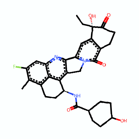 CC[C@@]1(O)C(=O)CCc2c1cc1n(c2=O)Cc2c-1nc1cc(F)c(C)c3c1c2[C@@H](NC(=O)C1CCC(O)CC1)CC3